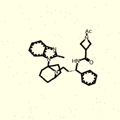 CC(=O)N1CC(C(=O)N[C@@H](CCN2C3CCCC2(n2c(C)nc4ccccc42)CC3)c2ccccc2)C1